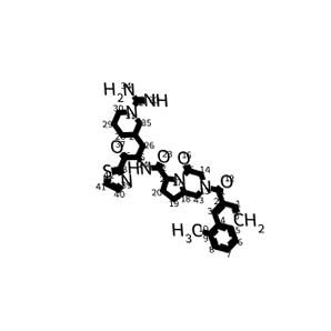 C=CC(=Cc1ccccc1C)C(=O)N1CC(=O)N2C(CCC2C(=O)NC(CC2CCCN(C(=N)N)C2)C(=O)c2nccs2)C1